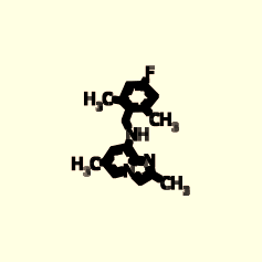 Cc1cc(NCc2c(C)cc(F)cc2C)c2nc(C)cn2c1